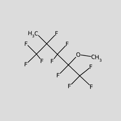 COC(F)(C(F)(F)F)C(F)(F)C(C)(F)C(F)(F)F